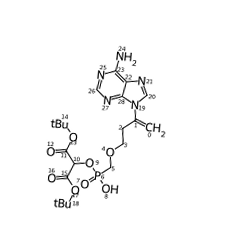 C=C(CCOCP(=O)(O)OC(C(=O)OC(C)(C)C)C(=O)OC(C)(C)C)n1cnc2c(N)ncnc21